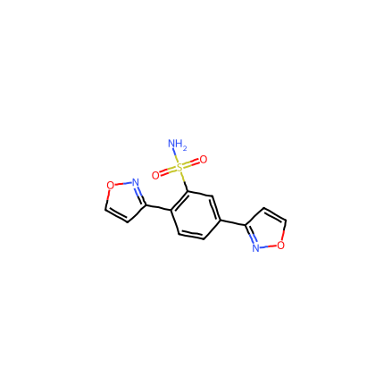 NS(=O)(=O)c1cc(-c2ccon2)ccc1-c1ccon1